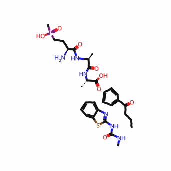 CCCC(=O)c1ccccc1.CNC(=O)Nc1nc2ccccc2s1.C[C@H](NC(=O)[C@H](C)NC(=O)[C@@H](N)CCP(C)(=O)O)C(=O)O